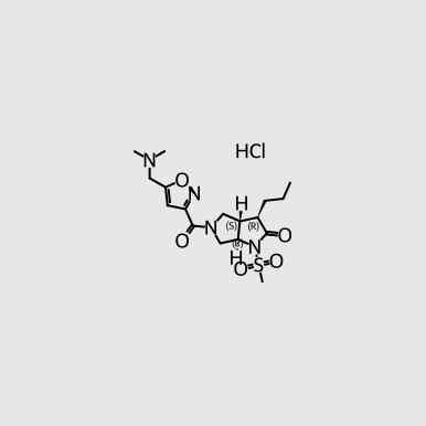 CCC[C@H]1C(=O)N(S(C)(=O)=O)[C@H]2CN(C(=O)c3cc(CN(C)C)on3)C[C@H]12.Cl